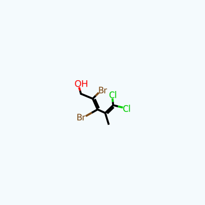 CC(=C(Cl)Cl)C(Br)=C(Br)CO